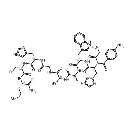 CSCC[C@H](NC(=O)[C@H](CC(C)C)NC(=O)[C@H](Cc1c[nH]cn1)NC(=O)CNC(=O)[C@@H](NC(=O)[C@H](C)NC(=O)[C@H](Cc1c[nH]c2ccccc12)NC(=O)[C@H](Cc1c[nH]cn1)N(C(=O)CN)C(=O)c1ccc(N)cc1)C(C)C)C(N)=O